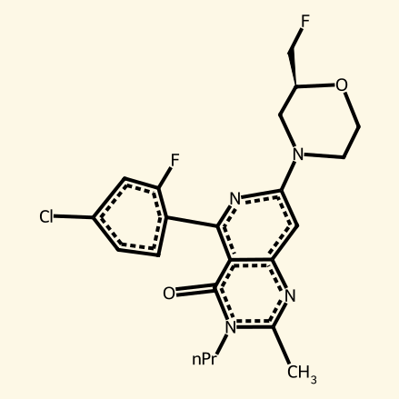 CCCn1c(C)nc2cc(N3CCO[C@H](CF)C3)nc(-c3ccc(Cl)cc3F)c2c1=O